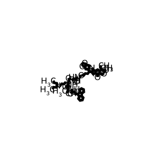 CCCN(CCC)CCCC[C@H](NC(=O)[C@@H](NC(=O)OCC1c2ccccc2-c2ccccc21)C(C)C)C(=O)NCC(=O)NCOCCCc1c2c(nc3cc4c(cc13)OCO4)-c1cc3c(c(=O)n1C2)COC(=O)[C@]3(O)CC